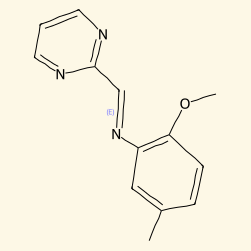 COc1ccc(C)cc1/N=C/c1ncccn1